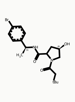 C[C@H](NC(=O)C1C[C@@H](O)CN1C(=O)CC(C)(C)C)c1ccc(Br)cc1